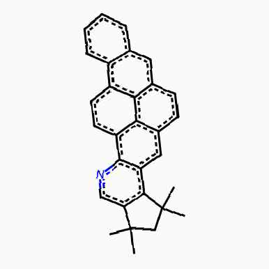 CC1(C)CC(C)(C)c2c1cnc1c2cc2ccc3cc4ccccc4c4ccc1c2c34